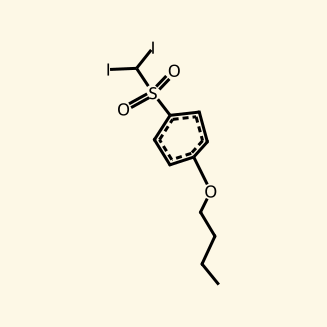 CCCCOc1ccc(S(=O)(=O)C(I)I)cc1